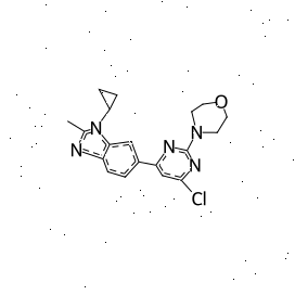 Cc1nc2ccc(-c3cc(Cl)nc(N4CCOCC4)n3)cc2n1C1CC1